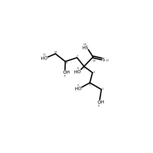 OCC(O)CC(O)(CC(O)CO)C(=S)S